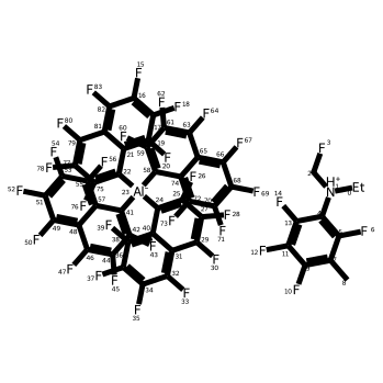 CC[NH+](CF)c1c(F)c(C)c(F)c(F)c1F.Fc1c(F)c(F)c2[c]([Al-]([c]3c(F)c(F)c(F)c4c(F)c(F)c(F)c(F)c34)([c]3c(F)c(F)c(F)c4c(F)c(F)c(F)c(F)c34)[c]3c(F)c(F)c(F)c4c(F)c(F)c(F)c(F)c34)c(F)c(F)c(F)c2c1F